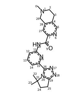 CN1CCc2cnc(C(=O)Nc3cccc(-c4nnc5n4C(C)(C)CC5)n3)cc2C1